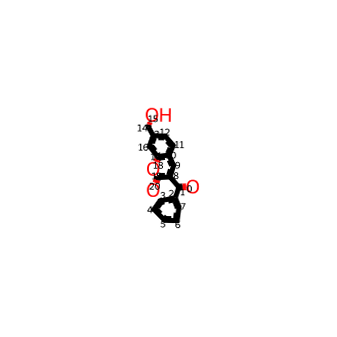 O=C(c1ccccc1)c1cc2ccc(CO)cc2oc1=O